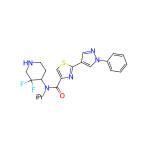 CC(C)N(C(=O)c1csc(-c2cnn(-c3ccccc3)c2)n1)C1CCNCC1(F)F